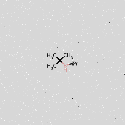 CC(C)BC(C)(C)C